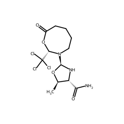 C[C@H]1O[C@@H](N2CCCCC(=O)O[C@H]2C(Cl)(Cl)Cl)N[C@@H]1C(N)=O